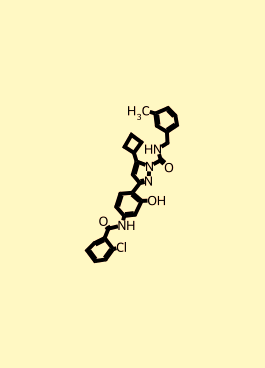 Cc1cccc(CNC(=O)n2nc(-c3ccc(NC(=O)c4ccccc4Cl)cc3O)cc2C2CCC2)c1